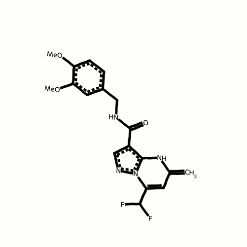 C=C1C=C(C(F)F)n2ncc(C(=O)NCc3ccc(OC)c(OC)c3)c2N1